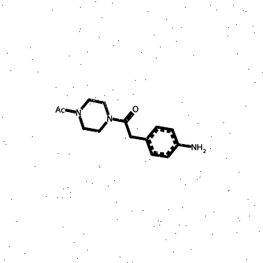 CC(=O)N1CCN(C(=O)Cc2ccc(N)cc2)CC1